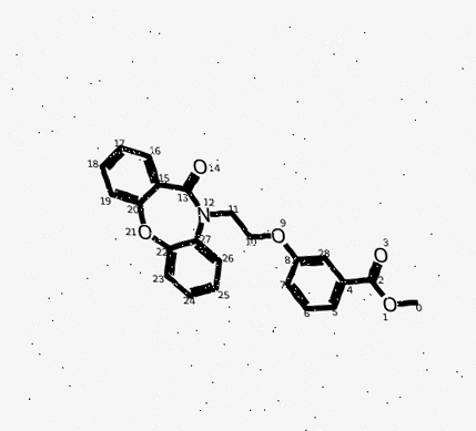 COC(=O)c1cccc(OCCN2C(=O)c3ccccc3Oc3ccccc32)c1